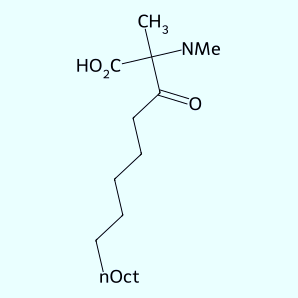 CCCCCCCCCCCCCC(=O)C(C)(NC)C(=O)O